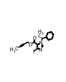 CC#CCOC(=O)c1c(I)ncn1[C@H](C)c1ccccc1